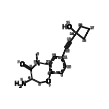 CN1C(=O)C(N)COc2ccc(C#CC3(O)CCC3)cc21